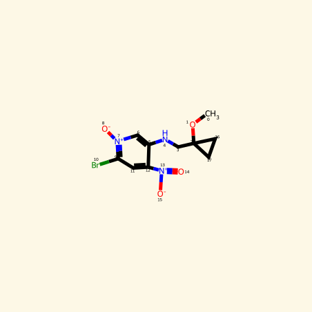 COC1(CNc2c[n+]([O-])c(Br)cc2[N+](=O)[O-])CC1